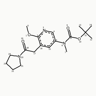 COc1ncc(N(C)C(=O)OC(C)(C)C)cc1CC(=O)N1CCCC1